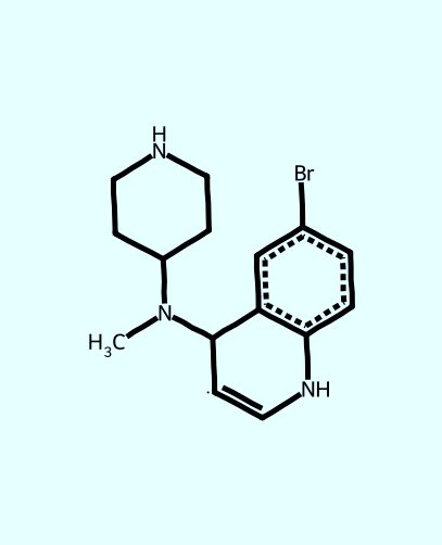 CN(C1CCNCC1)C1[C]=CNc2ccc(Br)cc21